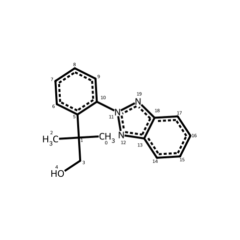 CC(C)(CO)c1ccccc1-n1nc2ccccc2n1